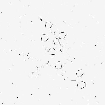 Cc1c(N(C(=O)c2cc(-c3cc(Cl)ccc3C(=O)N3Cc4ccccc4C[C@H]3CCC[N+](C)(C)Cc3ccc(NC(=O)[C@H](CCCNC(N)=O)NC(=O)[C@@H](N)C(C)C)cc3CN(C)C(=O)OCC3c4ccccc4-c4ccccc43)n(C)c2C)c2ccc(O)cc2)cc(C#N)n1C